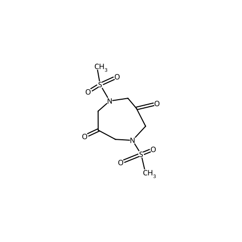 CS(=O)(=O)N1CC(=O)CN(S(C)(=O)=O)CC(=O)C1